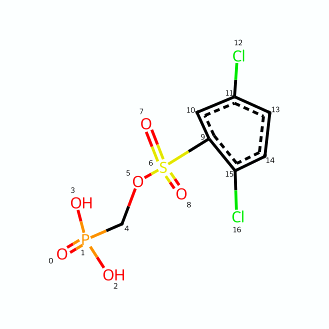 O=P(O)(O)COS(=O)(=O)c1cc(Cl)ccc1Cl